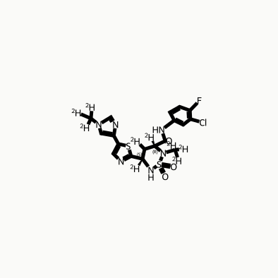 [2H]C1[C@]([2H])(C(=O)Nc2ccc(F)c(Cl)c2)N(C([2H])([2H])[2H])S(=O)(=O)N[C@]1([2H])c1ncc(-c2cn(C([2H])([2H])[2H])cn2)s1